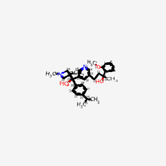 COc1ccccc1C(C)(O)CCc1cncc(C(O)(c2ccc(C(C)C)cc2)C2(C)CN(C)C2)c1